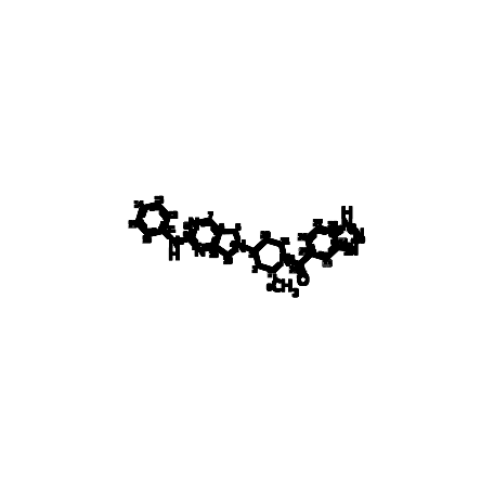 C[C@@H]1C[C@@H](N2Cc3cnc(Nc4ccccc4)nc3C2)CCN1C(=O)c1ccc2[nH]nnc2c1